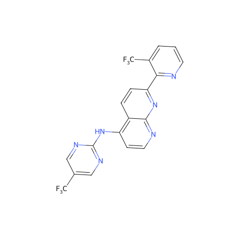 FC(F)(F)c1cnc(Nc2ccnc3nc(-c4ncccc4C(F)(F)F)ccc23)nc1